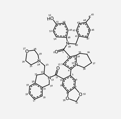 O=C(c1cc(-c2cc3c(cc2C(=O)N2Cc4ccccc4CC2CN2CCOCC2)OCO3)n2c1CCCC2)N(Cc1ccc(F)cc1)c1ccc(O)cc1